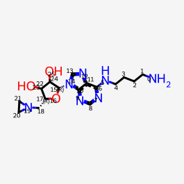 NCCCCNc1ncnc2c1ncn2[C@@H]1O[C@H](CN2CC2)C(O)C1O